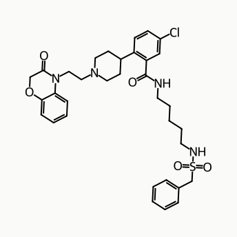 O=C(NCCCCCNS(=O)(=O)Cc1ccccc1)c1cc(Cl)ccc1C1CCN(CCN2C(=O)COc3ccccc32)CC1